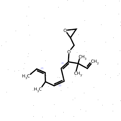 C=CC(C)(C)/C(=C\C=C/C(C)/C=C\C)OCC1CO1